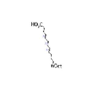 CCCCCCCCCCC/C=C/C=C/C=C/C=CC(=O)O